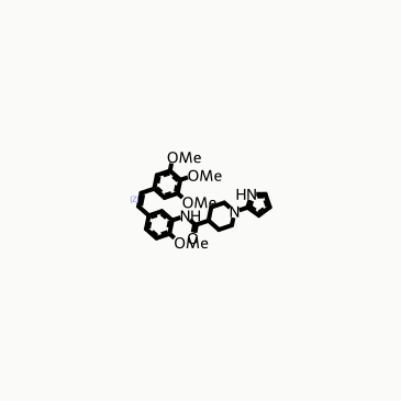 COc1ccc(/C=C\c2cc(OC)c(OC)c(OC)c2)cc1NC(=O)C1CCN(c2ccc[nH]2)CC1